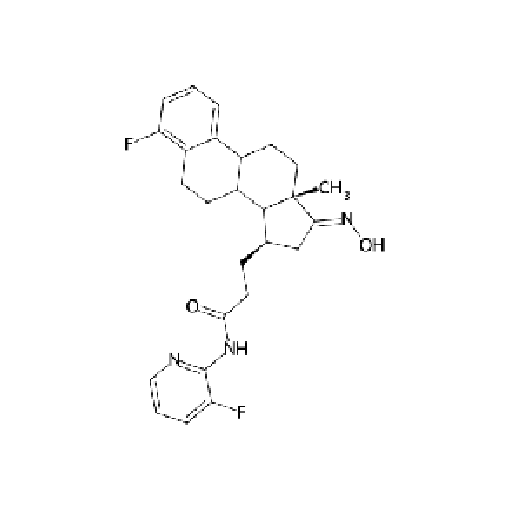 C[C@]12CCC3c4cccc(F)c4CCC3C1[C@H](CCC(=O)Nc1ncccc1F)C/C2=N\O